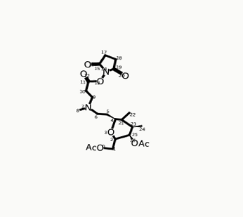 CC(=O)OCC1O[C@@H](CCN(C)CCC(=O)ON2C(=O)CCC2=O)C(C)[C@@H](C)[C@H]1OC(C)=O